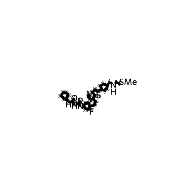 CSCCNCc1ccc(-c2cc3nccc(/C=C\c4ccc(NC(=S)NC(=O)Cc5ccccc5)cc4F)c3s2)cc1